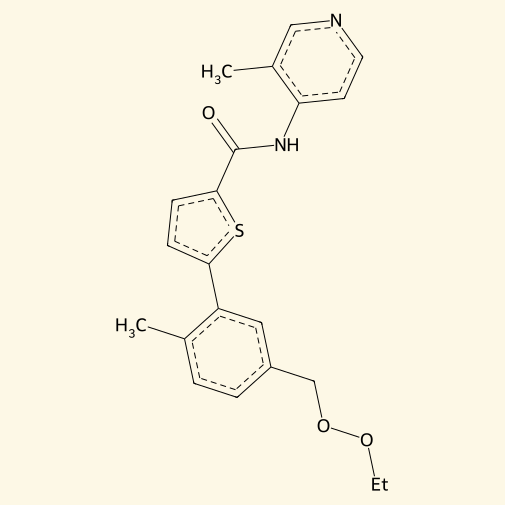 CCOOCc1ccc(C)c(-c2ccc(C(=O)Nc3ccncc3C)s2)c1